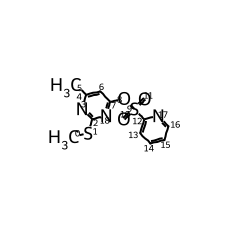 CSc1nc(C)cc(OS(=O)(=O)c2ccccn2)n1